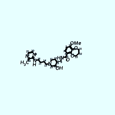 COc1ccc(C(=O)NC[C@@H]2CCN(CCCCNc3nccnc3C)C[C@H]2O)c2c1OCCCO2